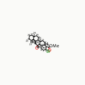 COC(=O)[C@@]1(C)C(Br)CC[C@@]2(C)[C@H]1CC[C@]1(C)[C@@H]2C(=O)C=C2[C@@H]3[C@@H](C)[C@H](C)CC[C@]3(C)CC[C@]21C